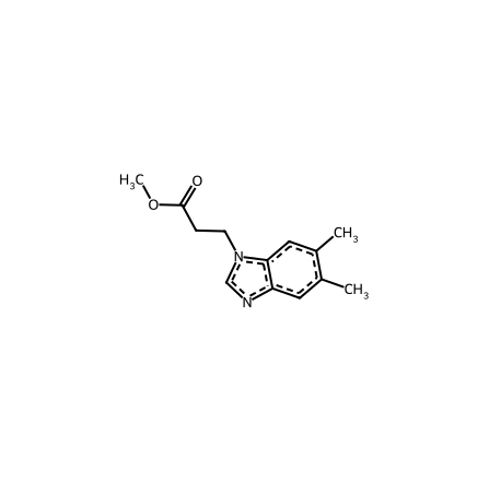 COC(=O)CCn1cnc2cc(C)c(C)cc21